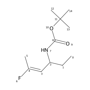 CCC(/C=C(\C)F)NC(=O)OC(C)(C)C